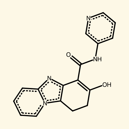 O=C(Nc1cccnc1)C1=C(O)CCc2c1nc1ccccn21